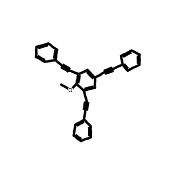 COc1c(C#Cc2ccccc2)cc(C#Cc2ccccc2)cc1C#Cc1ccccc1